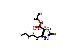 CCCCCc1nc(C)sc1C(=O)OCC